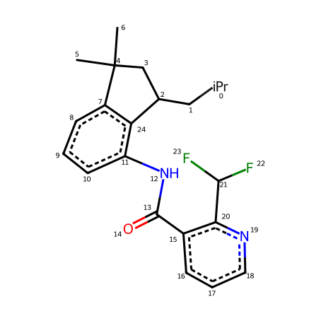 CC(C)CC1CC(C)(C)c2cccc(NC(=O)c3cccnc3C(F)F)c21